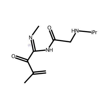 C=C(C)C(=O)/C(=N/C)NC(=O)CNC(C)C